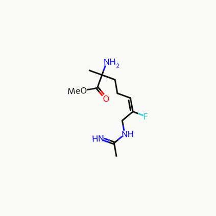 COC(=O)C(C)(N)CC/C=C(/F)CNC(C)=N